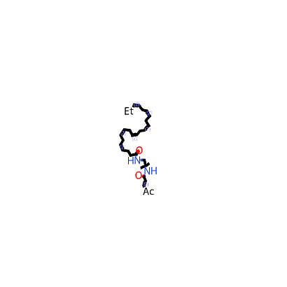 CC/C=C\C/C=C\C/C=C\C/C=C\C/C=C\C/C=C\CCC(=O)NCC(C)(C)NC(=O)/C=C/C(C)=O